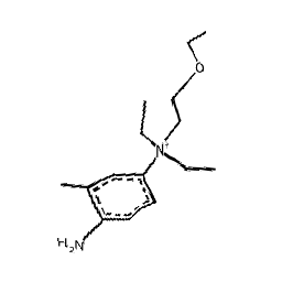 CCOCC[N+](CC)(CC)c1ccc(N)c(C)c1